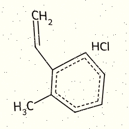 C=Cc1ccccc1C.Cl